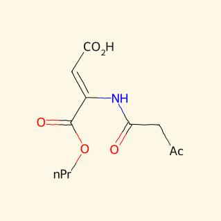 CCCOC(=O)/C(=C/C(=O)O)NC(=O)CC(C)=O